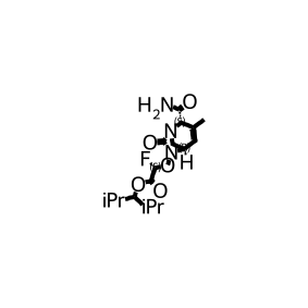 CC1=C[C@@H]2CN(C(=O)N2O[C@@H](F)C(=O)OC(C(C)C)C(C)C)[C@@H]1C(N)=O